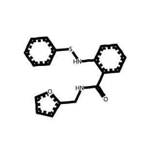 O=C(NCc1ccco1)c1ccccc1NSc1ccccc1